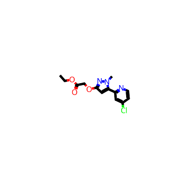 CCOC(=O)COc1cc(-c2cc(Cl)ccn2)n(C)n1